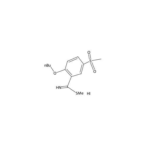 CCCCOc1ccc(S(C)(=O)=O)cc1C(=N)SC.I